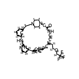 O=C1CN2CCN(CC2)Cc2cccc(c2)Nc2nccc(n2)-c2ccc(nc2)CN(CCOCC(F)(F)F)CCN1